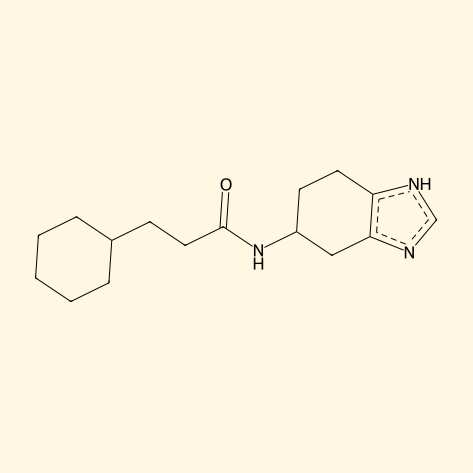 O=C(CCC1CCCCC1)NC1CCc2[nH]cnc2C1